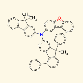 CC1(C)c2ccccc2-c2ccc(N(c3ccc4c(c3)C(C)(c3ccccc3)c3cccc(-c5ccccc5)c3-4)c3ccc4oc5ccccc5c4c3)cc21